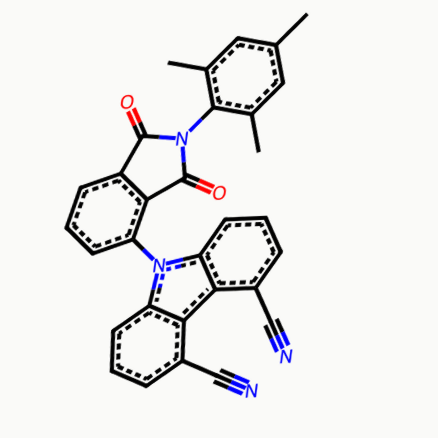 Cc1cc(C)c(N2C(=O)c3cccc(-n4c5cccc(C#N)c5c5c(C#N)cccc54)c3C2=O)c(C)c1